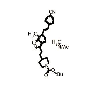 CNC.Cc1c(C=Cc2ccc(C#N)cc2)ccc2c(CCC3CCN(C(=O)OC(C)(C)C)CC3)noc12